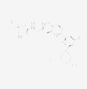 C[C@@H]1CN(c2cc(F)cc(-c3ccc4cnc(CNC(=O)OC(C)(C)C)cc4n3)n2)C[C@H](C)O1